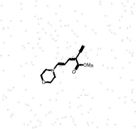 C#C/C(=C/C=C/N1CCOCC1)C(=O)OC